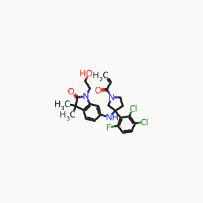 C=CC(=O)N1CCC(Nc2ccc3c(c2)N(CCO)C(=O)C3(C)C)(c2c(F)ccc(Cl)c2Cl)C1